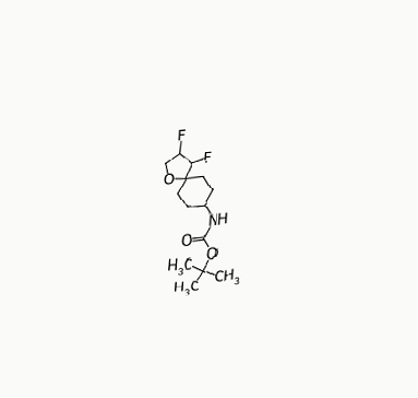 CC(C)(C)OC(=O)NC1CCC2(CC1)OCC(F)C2F